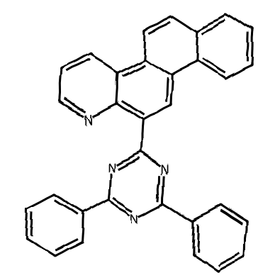 c1ccc(-c2nc(-c3ccccc3)nc(-c3cc4c5ccccc5ccc4c4cccnc34)n2)cc1